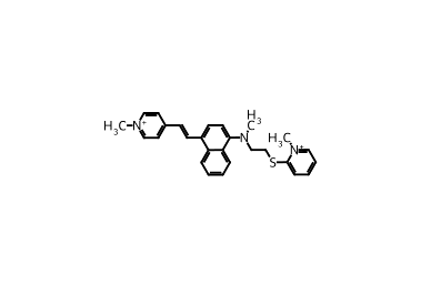 CN(CCSc1cccc[n+]1C)c1ccc(/C=C/c2cc[n+](C)cc2)c2ccccc12